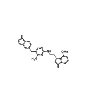 COc1cccc2[nH]cc(CCNc3ncc(Cc4ccc5[nH]ccc5c4)c(N)n3)c12